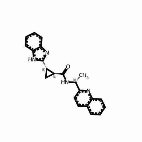 C[C@@H](NC(=O)[C@H]1C[C@@H]1c1nc2ccccc2[nH]1)c1ccc2ccccc2n1